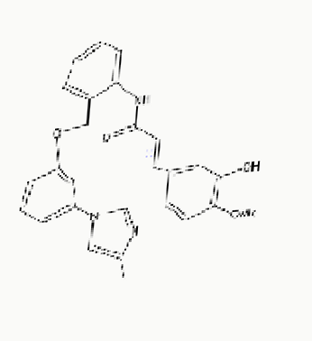 COc1ccc(/C=C/C(=O)Nc2ccccc2COc2cccc(-n3cnc(C)c3)c2)cc1O